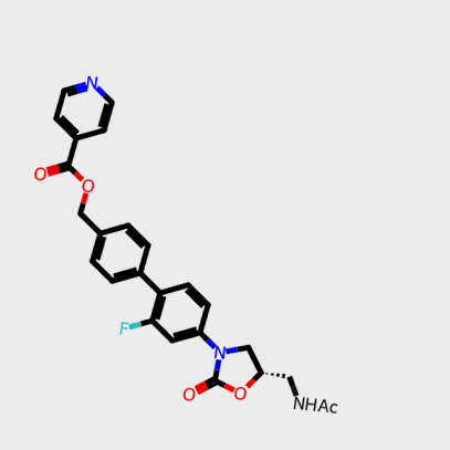 CC(=O)NC[C@H]1CN(c2ccc(-c3ccc(COC(=O)c4ccncc4)cc3)c(F)c2)C(=O)O1